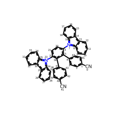 N#Cc1ccc(-c2c(-n3c4ccccc4c4ccccc43)ccc(-n3c4ccccc4c4ccccc43)c2-c2ccc(C#N)cc2)cc1